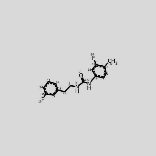 Cc1ccc(NC(=O)NCCc2cccc(F)c2)cc1F